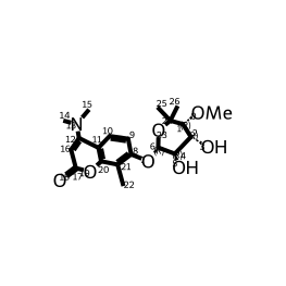 CO[C@@H]1[C@H](O)[C@@H](O)[C@H](Oc2ccc3c(N(C)C)cc(=O)oc3c2C)OC1(C)C